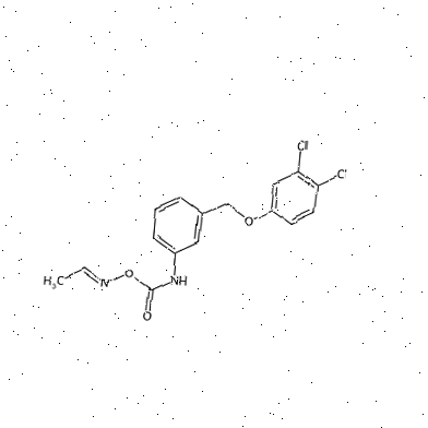 CC=NOC(=O)Nc1cccc(COc2ccc(Cl)c(Cl)c2)c1